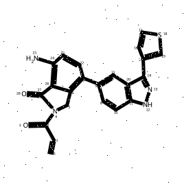 C=CC(=O)N1Cc2c(-c3ccc4[nH]nc(-c5ccsc5)c4c3)ccc(N)c2C1=O